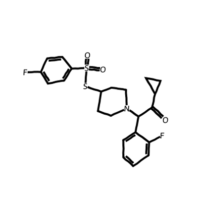 O=C(C1CC1)C(c1ccccc1F)N1CCC(SS(=O)(=O)c2ccc(F)cc2)CC1